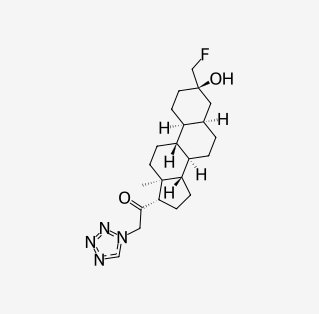 C[C@]12CC[C@H]3[C@@H](CC[C@@H]4C[C@@](O)(CF)CC[C@@H]43)[C@@H]1CC[C@@H]2C(=O)Cn1cnnn1